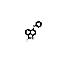 O=C1Nc2ccc(Sc3ccccc3)c3cccc1c23